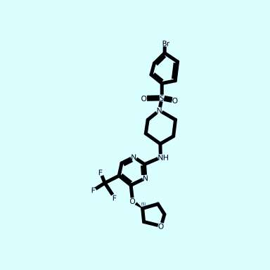 O=S(=O)(c1ccc(Br)cc1)N1CCC(Nc2ncc(C(F)(F)F)c(O[C@H]3CCOC3)n2)CC1